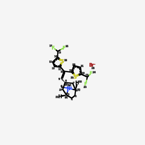 C[N+]1(C)[C@@H]2CC[C@H]1C[C@@H](C=C(c1ccc(C(F)F)s1)c1ccc(C(F)F)s1)C2.[Br-]